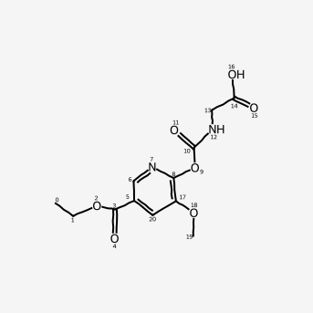 CCOC(=O)c1cnc(OC(=O)NCC(=O)O)c(OC)c1